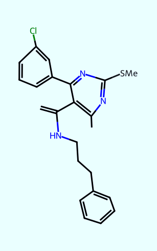 C=C(NCCCc1ccccc1)c1c(C)nc(SC)nc1-c1cccc(Cl)c1